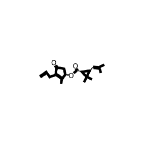 C=CCC1=C(C)[C@H](OC(=O)[C@@H]2[C@H](C=C(C)C)C2(C)C)CC1=O